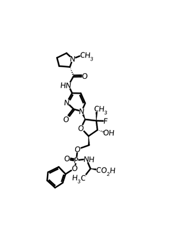 C[C@@H](NP(=O)(OC[C@H]1O[C@@H](n2ccc(NC(=O)[C@@H]3CCCN3C)nc2=O)[C@](C)(F)[C@@H]1O)Oc1ccccc1)C(=O)O